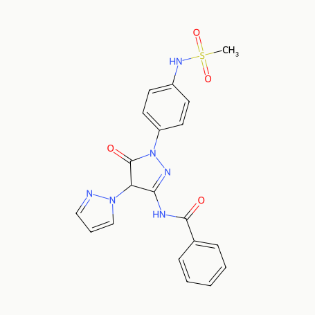 CS(=O)(=O)Nc1ccc(N2N=C(NC(=O)c3ccccc3)C(n3cccn3)C2=O)cc1